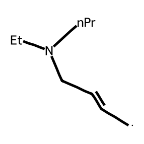 [CH2]/C=C/CN(CC)CCC